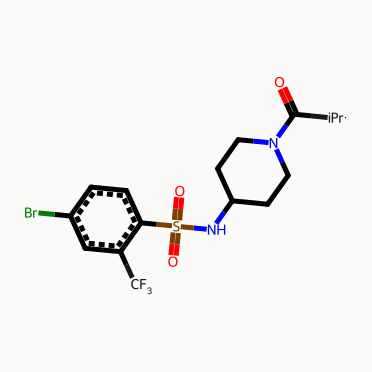 C[C](C)C(=O)N1CCC(NS(=O)(=O)c2ccc(Br)cc2C(F)(F)F)CC1